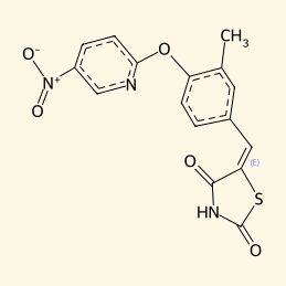 Cc1cc(/C=C2/SC(=O)NC2=O)ccc1Oc1ccc([N+](=O)[O-])cn1